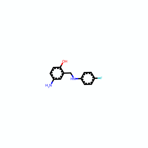 Nc1ccc(O)c(CNc2ccc(F)cc2)c1